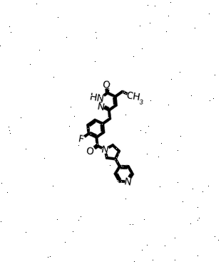 CCc1cc(Cc2ccc(F)c(C(=O)N3CCC(c4ccncc4)C3)c2)n[nH]c1=O